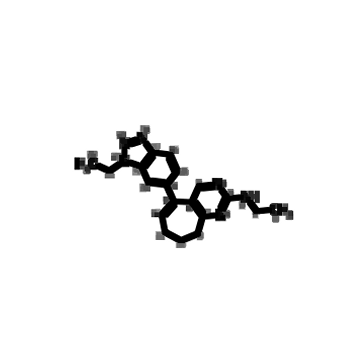 CCNc1ncc2c(n1)CCCC=C2c1ccc2nnn(CC)c2c1